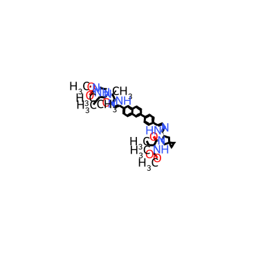 COC(=O)NC(C(=O)N(CC#N)[C@@H](C)c1ncc(-c2ccc3cc(-c4ccc(-c5cnc([C@@H]6CC7(CC7)CN6C(=O)[C@@H](NC(=O)OC)C(C)C)[nH]5)cc4)ccc3c2)[nH]1)C(C)(C)C